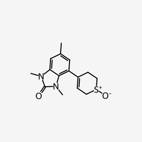 Cc1cc(C2=CC[S+]([O-])CC2)c2c(c1)n(C)c(=O)n2C